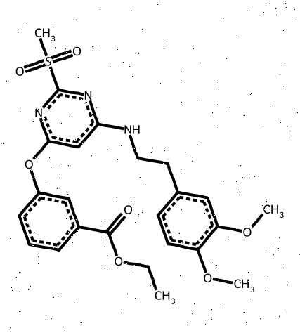 CCOC(=O)c1cccc(Oc2cc(NCCc3ccc(OC)c(OC)c3)nc(S(C)(=O)=O)n2)c1